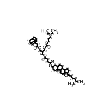 CCN(CC)CCCOC(=O)OCC(COC(=O)CCC(=O)OC1CCC2(C)C(=CCC3C2CCC2(C)C(CCCCC(C)C)CCC32)C1)COC(=O)CC12CC3CC(CC(C3)C1)C2